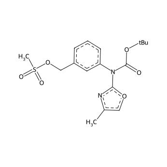 Cc1coc(N(C(=O)OC(C)(C)C)c2cccc(COS(C)(=O)=O)c2)n1